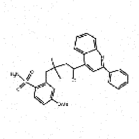 CCC(CC(C)(C)Cc1cc(OC)ccc1S(N)(=O)=O)c1cc(-c2ccccc2)nc2ccccc12